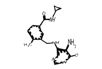 Cc1ccc(C(=O)NC2CC2)cc1CNc1ncnc(Cl)c1N